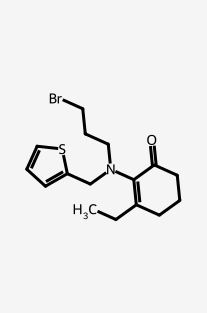 CCC1=C(N(CCCBr)Cc2cccs2)C(=O)CCC1